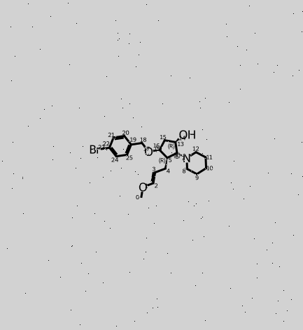 COC=CC[C@@H]1[C@@H](N2CCCCC2)[C@H](O)C[C@@H]1OCc1ccc(Br)cc1